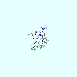 CCOC(=O)CN1C[C@@H]([N+](=O)[O-])CC[C@@]1(CO[C@H](C)c1cc(C(F)(F)F)cc(C(F)(F)F)c1)c1ccccc1